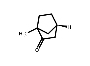 CC12CC[C@H](CC1=O)C2